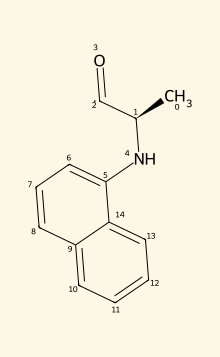 C[C@H]([C]=O)Nc1cccc2ccccc12